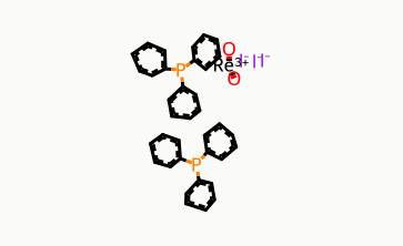 [I-].[I-].[I-].[O]=[Re+3]=[O].c1ccc(P(c2ccccc2)c2ccccc2)cc1.c1ccc(P(c2ccccc2)c2ccccc2)cc1